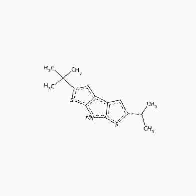 CC(C)c1cc2c([nH]c3sc(C(C)(C)C)cc32)s1